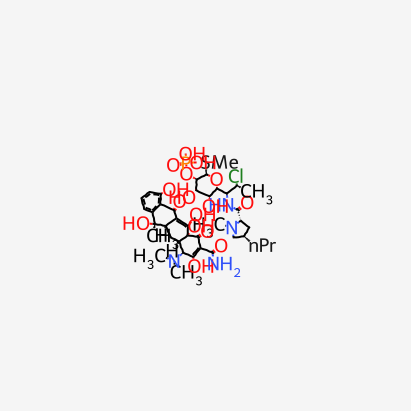 CCC[C@@H]1C[C@@H](C(=O)N[C@@H]([C@H]2O[C@H](SC)[C@H](OP(=O)(O)O)[C@@H](O)[C@H]2O)[C@H](C)Cl)N(C)C1.CN(C)[C@@H]1C(O)=C(C(N)=O)C(=O)[C@@]2(O)C(O)=C3C(=O)c4c(O)cccc4[C@@](C)(O)[C@H]3C[C@@H]12